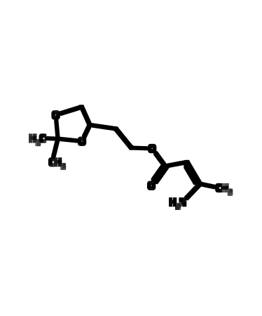 CC(N)=CC(=O)OCCC1COC(C)(C)O1